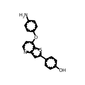 Nc1ccc(Oc2ccnc3cc(-c4ccc(O)cc4)sc23)cc1